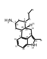 CCCN1C[C@@H](N)CC2c3cccc4[nH]c(C)c(c34)C[C@H]21